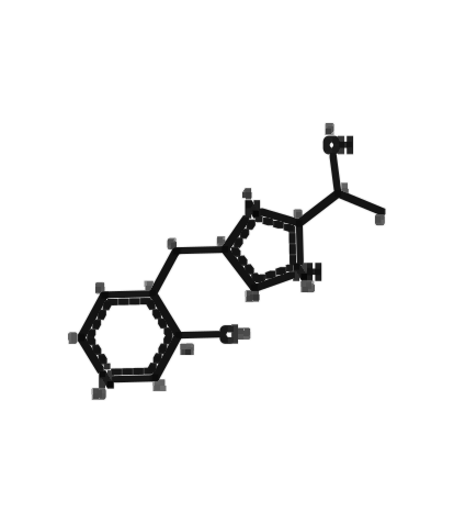 CC(O)c1nc(Cc2ccncc2Cl)c[nH]1